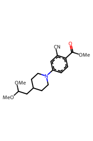 COC(=O)c1ccc(N2CCC(CC(OC)OC)CC2)cc1C#N